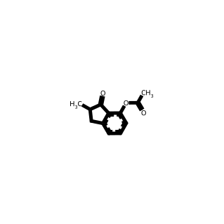 CC(=O)Oc1cccc2c1C(=O)C(C)C2